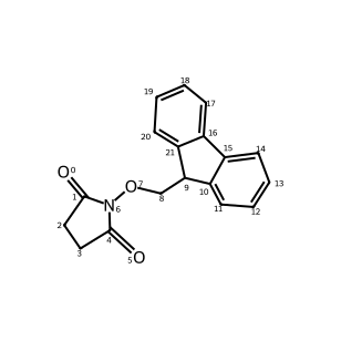 O=C1CCC(=O)N1OCC1c2ccccc2-c2ccccc21